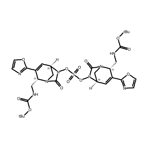 CC(C)(C)OC(=O)NC[C@@H]1C(c2ncco2)=C[C@@H]2CN1C(=O)N2OS(=O)(=O)ON1C(=O)N2C[C@H]1C=C(c1ncco1)[C@H]2CNC(=O)OC(C)(C)C